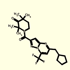 CC1(C)CCN(C(=O)c2cc3nc(CC4CCCC4)cc(C(F)(F)F)n3n2)C(C)(C)C1=O